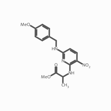 COC(=O)C(C)Nc1nc(NCc2ccc(OC)cc2)ccc1[N+](=O)[O-]